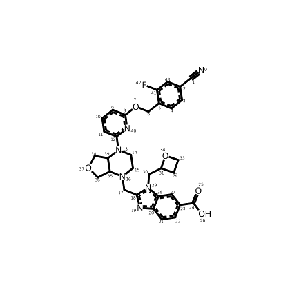 N#Cc1ccc(COc2cccc(N3CCN(Cc4nc5ccc(C(=O)O)cc5n4CC4CCO4)C4COCC43)n2)c(F)c1